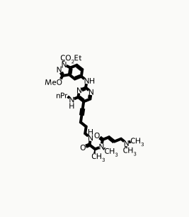 CCCNc1nc(Nc2ccc3c(c2)c(OC)nn3C(=O)OCC)ncc1C#CCCCNC(=O)[C@H](C)N(C)C(=O)/C=C/CN(C)C